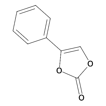 O=c1occ(-c2ccccc2)o1